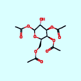 CC(=O)OC[C@H]1OC(OC(C)=O)[C@H](O)[C@@H](OC(C)=O)[C@H]1OC(C)=O